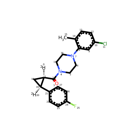 [2H][C@@]1(C(=O)N2CCN(c3cc(Cl)ccc3C)CC2)C[C@]1([2H])c1ccc(F)cc1